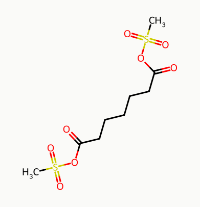 CS(=O)(=O)OC(=O)CCCCCC(=O)OS(C)(=O)=O